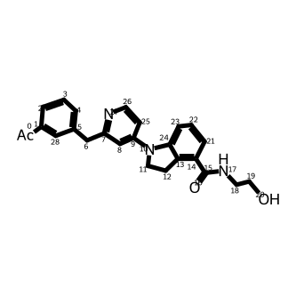 CC(=O)c1cccc(Cc2cc(N3CCc4c(C(=O)NCCO)cccc43)ccn2)c1